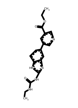 CCNC(=O)Nc1nc2cc(-c3cncc(C(=O)OCC)c3)ccc2[nH]1